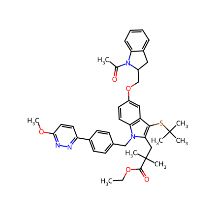 CCOC(=O)C(C)(C)Cc1c(SC(C)(C)C)c2cc(OCC3Cc4ccccc4N3C(C)=O)ccc2n1Cc1ccc(-c2ccc(OC)nn2)cc1